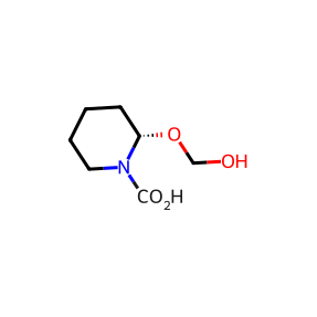 O=C(O)N1CCCC[C@@H]1OCO